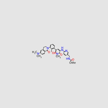 COC(=O)NCc1ccc(Nc2cc(-c3cccc(N4CCc5cc(N(C)C)ccc5C4=O)c3CO)cn(C)c2=O)nc1